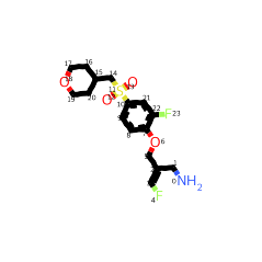 NC/C(=C\F)COc1ccc(S(=O)(=O)CC2CCOCC2)cc1F